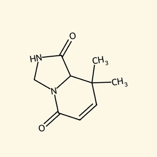 CC1(C)C=CC(=O)N2CNC(=O)C21